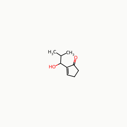 CC(C)C(O)C1=CCCC1=O